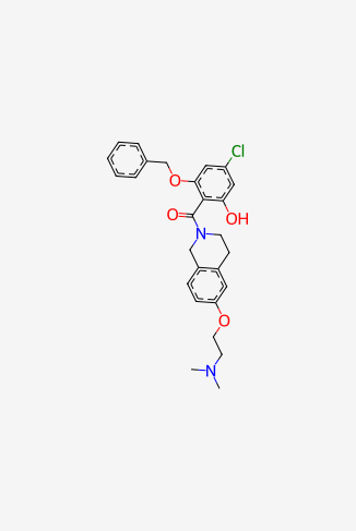 CN(C)CCOc1ccc2c(c1)CCN(C(=O)c1c(O)cc(Cl)cc1OCc1ccccc1)C2